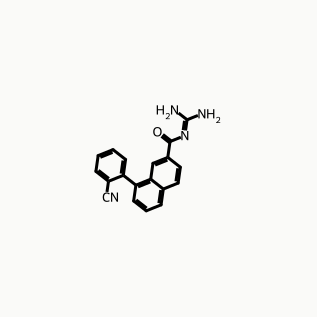 N#Cc1ccccc1-c1cccc2ccc(C(=O)N=C(N)N)cc12